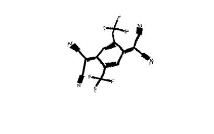 N#CC(C#N)=c1cc(C(F)(F)F)c(=C(C#N)C#N)cc1C(F)(F)F